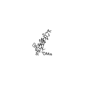 COCC(C)Nc1nc(N(C)C)nc(N2CCCC2)c1N=Nc1ncn(-c2nc3ccc(C(C)=O)cc3s2)n1